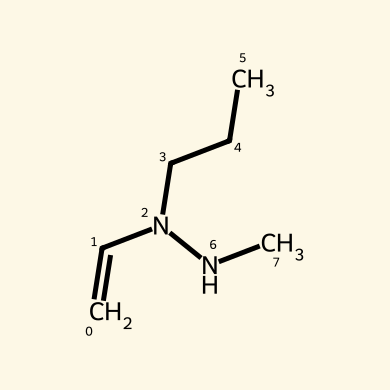 C=CN(CCC)NC